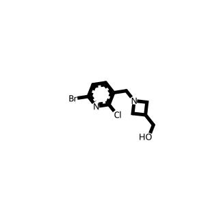 OCC1CN(Cc2ccc(Br)nc2Cl)C1